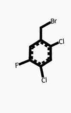 Fc1cc(CBr)c(Cl)cc1Cl